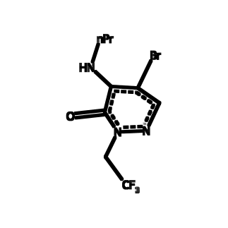 CCCNc1c(Br)cnn(CC(F)(F)F)c1=O